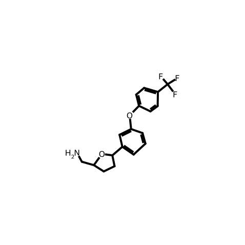 NCC1CCC(c2cccc(Oc3ccc(C(F)(F)F)cc3)c2)O1